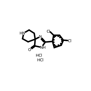 Cl.Cl.O=C1NC(c2ccc(Cl)cc2Cl)=NC12CCNCC2